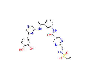 C=CS(=O)(=O)NCc1ncc(C(=O)Nc2cccc([C@H](C)Nc3cncc(-c4ccc(O)c(OC)c4)n3)c2)cn1